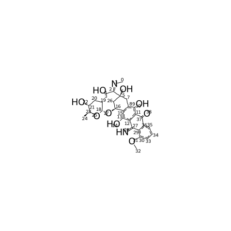 C/N=C(/CO)[C@]1(O)Cc2c(O)c3c(c(O)c2[C@@H](O[C@H]2CC[C@H](O)[C@H](C)O2)C1)C(=N)c1c(OC)cccc1C3=O